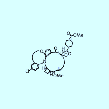 COC(=O)N1CCN(C(=O)NS2(=O)=NC(=O)c3ccc4c(c3)N(Cc3ccc(Cl)cc3CCCCO4)C[C@@H]3CC[C@H]3[C@@H](OC)/C=C/CCC2)CC1